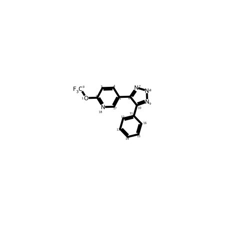 FC(F)(F)Oc1ccc(C2=N[N]N=C2c2ccccc2)cn1